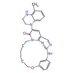 Cc1cccc2c1NCCN2c1cc2cnc3nc2n(c1=O)CCCCCCOc1cccc(c1)N3